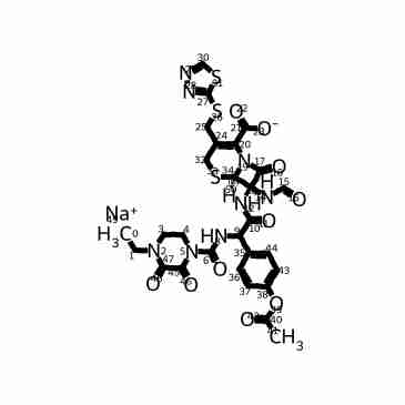 CCN1CCN(C(=O)NC(C(=O)N[C@]2(NC=O)C(=O)N3C(C(=O)[O-])=C(CSc4nncs4)CS[C@@H]32)c2ccc(OC(C)=O)cc2)C(=O)C1=O.[Na+]